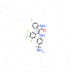 CC(C)(N)c1ccc(N/C(=C2\C(=O)Nc3cc(F)ccc32)c2cc(F)c(F)c(F)c2)cc1